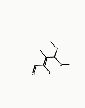 COC(OC)C(C)=C(F)C=O